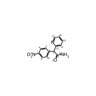 NC(=O)C(c1ccc([N+](=O)[O-])cc1)c1ccccn1